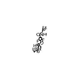 CCOCCCNC(=O)c1cc(F)c(C(=O)c2c[nH]c3c(NC(=O)C4CC4)nccc23)c(F)c1